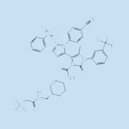 Cc1c(-c2ccnn2-c2ccc(C#N)cc2)n(C(=O)N[C@H]2CC[C@H](CNC(=O)C[N+](C)(C)C)CC2)c(=O)n1-c1cccc(C(F)(F)F)c1.O=S(=O)([O-])c1ccccc1